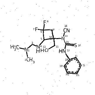 CN(C)CNC1C(F)(F)CC1(CO)N(C#N)C(=S)Nc1ccccc1